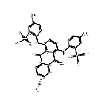 Cc1ccc(Nc2ccc(Nc3ccc(C)cc3S(=O)(=O)[O-])c3c2C(=O)c2ccccc2C3=O)c(S(=O)(=O)[O-])c1.Cl.[Na+].[Na+]